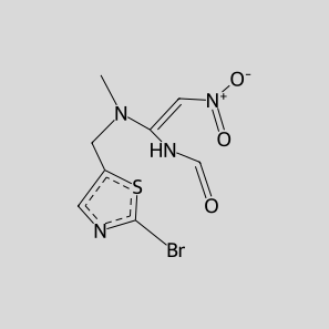 CN(Cc1cnc(Br)s1)C(=C[N+](=O)[O-])NC=O